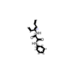 C=C/C=C(\C=C)NC(=O)C(=O)Nc1ccccc1